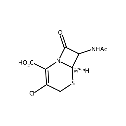 CC(=O)NC1C(=O)N2C(C(=O)O)=C(Cl)CS[C@H]12